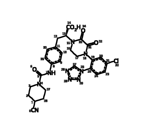 N#CC1CCN(C(=O)Nc2ccc(C[C@@H](C(=O)O)N3CCN(c4cc(Cl)ccc4-n4cnnn4)C(=O)C3=O)cc2)CC1